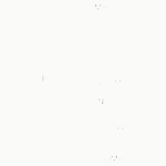 COC(=O)c1cccc(CBr)c1N(C)S(=O)(=O)c1ccc(OC)cc1